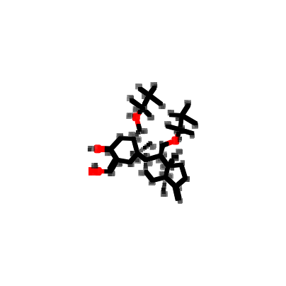 C=C1CC[C@H]2[C@H](CO[Si](C)(C)C(C)(C)C)[C@@H]([C@@]3(C)CC(=CO)C(=O)C[C@@H]3CO[Si](C)(C)C(C)(C)C)CC[C@]12C